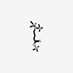 C[Si](C)(C)OC(=S)CCCN([Si](C)(C)C)[Si](C)(C)C